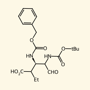 CCC(C(=O)O)[C@@H](NC(=O)OCc1ccccc1)C(C=O)NC(=O)OC(C)(C)C